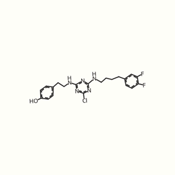 Oc1ccc(CCNc2nc(Cl)nc(NCCCCc3ccc(F)c(F)c3)n2)cc1